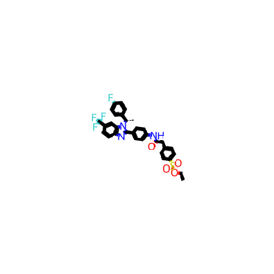 CCOS(=O)(=O)c1ccc(CC(=O)Nc2ccc(-c3nc4ccc(C(F)(F)F)cc4n3[C@@H](C)c3ccc(F)cc3)cc2)cc1